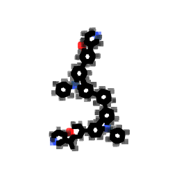 C=C/C(=C\c1oc2ccncc2c1C)c1ccc2c(c1)c1cc(-c3cccc(-c4ccc5c(c4)c4cc(-c6ccc7c(c6)oc6ccncc67)ccc4n5-c4ccccc4)c3)ccc1n2-c1ccccc1